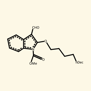 CCCCCCCCCCCCCCOc1c(C=O)c2ccccc2n1C(=O)OC